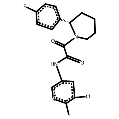 Cc1ncc(NC(=O)C(=O)N2CCCC[C@H]2c2ccc(F)cc2)cc1Cl